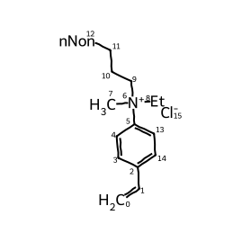 C=Cc1ccc([N+](C)(CC)CCCCCCCCCCCC)cc1.[Cl-]